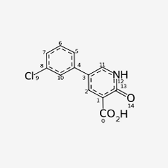 O=C(O)c1cc(-c2cccc(Cl)c2)c[nH]c1=O